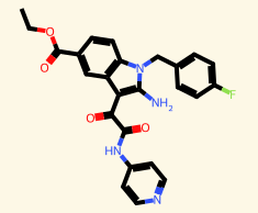 CCOC(=O)c1ccc2c(c1)c(C(=O)C(=O)Nc1ccncc1)c(N)n2Cc1ccc(F)cc1